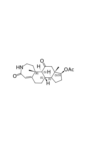 CC(=O)O[C@H]1CC[C@H]2[C@@H]3CCC4=CC(=O)NCC[C@]4(C)[C@H]3C(=O)C[C@]12C